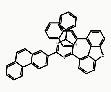 c1ccc(C2N=C(c3ccc4c(ccc5ccccc54)c3)N=C(c3cccc4oc5cccc(-c6ccc7ccccc7c6)c5c34)N2)cc1